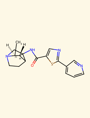 C[C@H]1[C@H](NC(=O)c2cnc(-c3cccnc3)s2)C2CCN1CC2